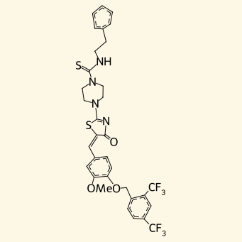 COc1cc(C=C2SC(N3CCN(C(=S)NCCc4ccccc4)CC3)=NC2=O)ccc1OCc1ccc(C(F)(F)F)cc1C(F)(F)F